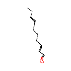 CCC=CCCCC=CC=O